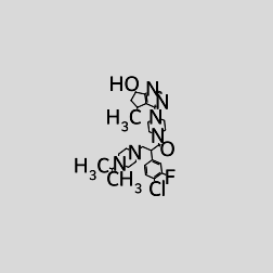 CC(C)N1CCN(CC(C(=O)N2CCN(c3ncnc4c3[C@H](C)C[C@H]4O)CC2)c2ccc(Cl)c(F)c2)CC1